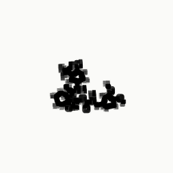 COc1ccc(CNC(=O)OC2=NOC3(CCCCC3)N2C(=S)Nc2ccc(Cl)c(C(F)(F)F)c2)cc1OC